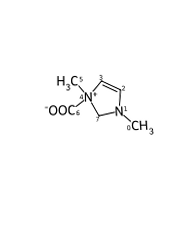 CN1C=C[N+](C)(C(=O)[O-])C1